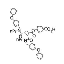 CCCN(Cc1ccc(Oc2ccccc2)cc1)C(=O)[C@@H]1[C@H](C(=O)Oc2ccc(C(=O)O)cc2)C[C@H]1C(=O)N(CCC)Cc1ccc(Oc2ccccc2)cc1